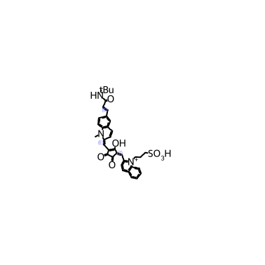 CN1/C(=C/C2=C(O)C(=C/c3ccc4ccccc4[n+]3CCCS(=O)(=O)O)/C(=O)C2=O)C=Cc2cc(/C=C/C(=O)NC(C)(C)C)ccc21